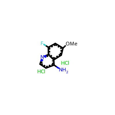 COc1cc(F)c2nccc(N)c2c1.Cl.Cl